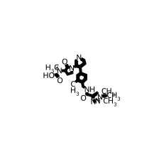 Cc1cc(-c2ccncc2N2CCC(N(C)C(=O)O)C2=O)ccc1CNC(=O)c1cn(C(C)(C)C)nn1